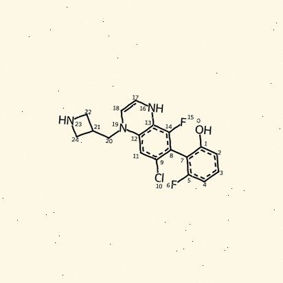 Oc1cccc(F)c1-c1c(Cl)cc2c(c1F)NC=CN2CC1CNC1